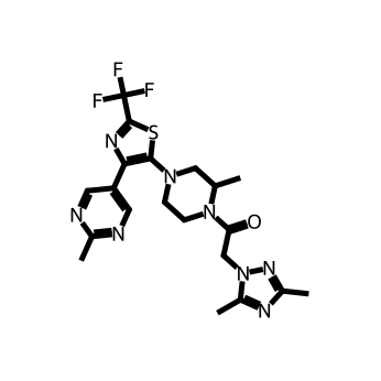 Cc1ncc(-c2nc(C(F)(F)F)sc2N2CCN(C(=O)Cn3nc(C)nc3C)C(C)C2)cn1